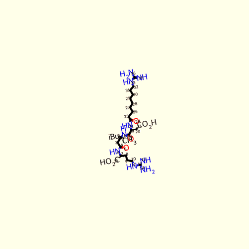 CCC(C)[C@@](C)(CC(=O)N[C@@H](CCCNC(=N)N)C(=O)O)NC(=O)[C@H](CC(=O)O)NC(=O)CCCCCCCCNC(=N)N